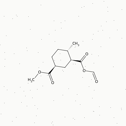 COC(=O)[C@H]1CC[C@H](C)[C@@H](C(=O)OC=O)C1